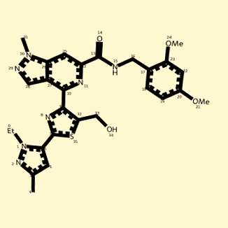 CCn1nc(C)cc1-c1nc(-c2nc(C(=O)NCc3ccc(OC)cc3OC)cc3c2cnn3C)c(CO)s1